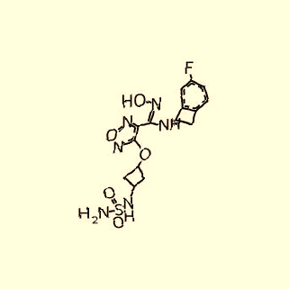 NS(=O)(=O)NC1CC(Oc2nonc2C(=NO)N[C@H]2Cc3ccc(F)cc32)C1